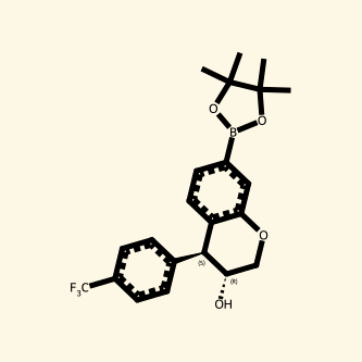 CC1(C)OB(c2ccc3c(c2)OC[C@H](O)[C@H]3c2ccc(C(F)(F)F)cc2)OC1(C)C